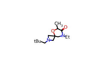 CCN1CC2(CN(CC(C)(C)C)C2)OC(C)C1=O